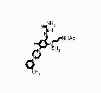 CC(=O)NCCCN(C)c1cc(N2CCN(c3cccc(C(F)(F)F)c3)CC2)c(F)cc1C=NNC(N)=S